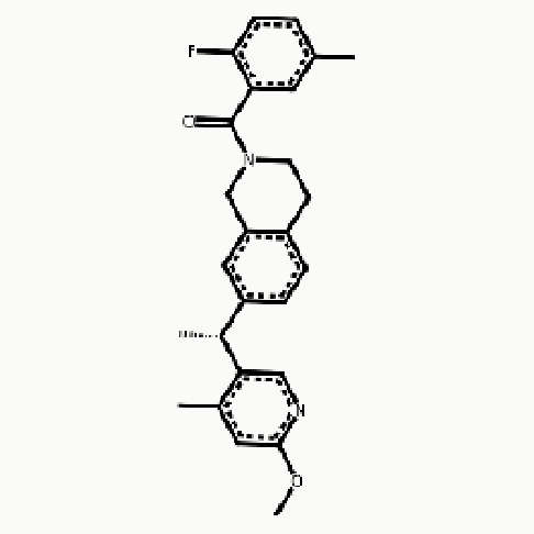 COc1cc(C)c([C@H](C)c2ccc3c(c2)CN(C(=O)c2cc(C)ccc2F)CC3)cn1